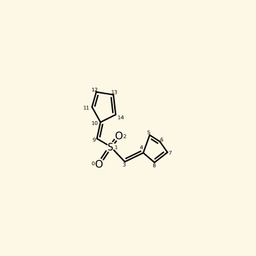 O=S(=O)(C=C1C=CC=C1)C=C1C=CC=C1